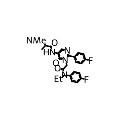 CCN(C(=O)Cn1c(-c2ccc(F)cc2)ncc(NC(=O)C(C)NC)c1=O)c1ccc(F)cc1